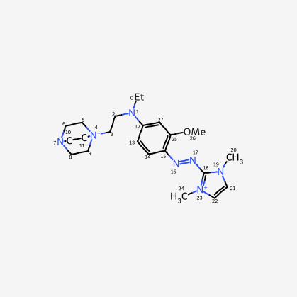 CCN(CC[N+]12CCN(CC1)CC2)c1ccc(/N=N/c2n(C)cc[n+]2C)c(OC)c1